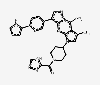 Cc1cn(C2CCN(C(=O)c3nnc[nH]3)CC2)c2nc3c(-c4ccc(-c5ccc[nH]5)nc4)cnn3c(N)c12